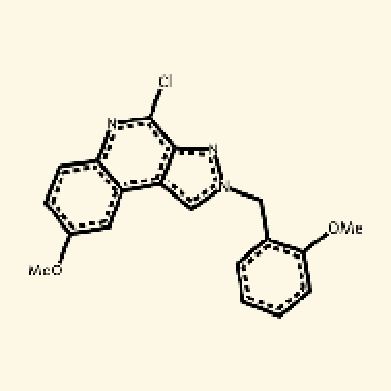 COc1ccc2nc(Cl)c3nn(Cc4ccccc4OC)cc3c2c1